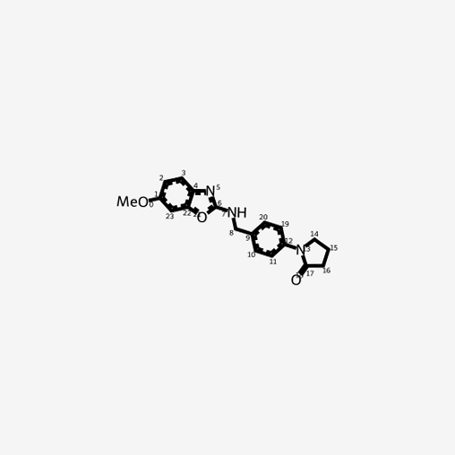 COc1ccc2nc(NCc3ccc(N4CCCC4=O)cc3)oc2c1